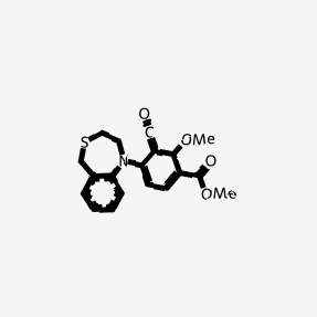 COC(=O)C1=CC=C(N2CCSCc3ccccc32)C(=C=O)C1OC